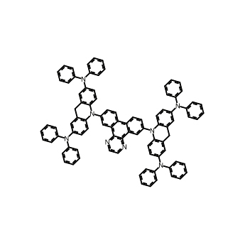 c1ccc(N(c2ccccc2)c2ccc3c(c2)Cc2cc(N(c4ccccc4)c4ccccc4)ccc2N3c2ccc3c4ccc(N5c6ccc(N(c7ccccc7)c7ccccc7)cc6Cc6cc(N(c7ccccc7)c7ccccc7)ccc65)cc4c4nccnc4c3c2)cc1